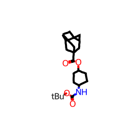 CC(C)(C)OC(=O)NC1CCC(OC(=O)C23CC4CC5(CC5C2)C4C3)CC1